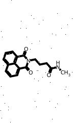 CNC(=O)CCCN1C(=O)c2cccc3cccc(c23)C1=O